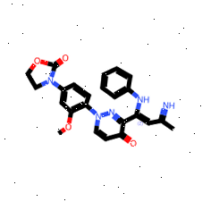 COc1cc(N2CCOC2=O)ccc1-n1ccc(=O)c(/C(=C/C(C)=N)Nc2ccccc2)n1